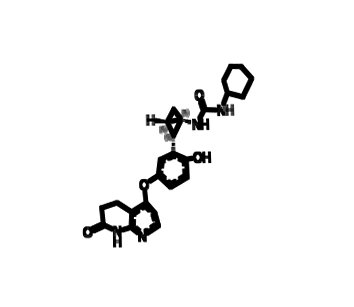 O=C1CCc2c(Oc3ccc(O)c([C@@H]4[C@@H]5C[C@@]45NC(=O)NC4CCCCC4)c3)ccnc2N1